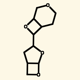 C1CC2C(CO1)OC2C1CC2COC2O1